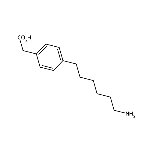 NCCCCCCc1ccc(CC(=O)O)cc1